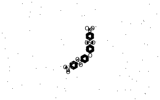 O=[N+]([O-])c1ccc(S(=O)(=O)c2ccc(Oc3ccc(S(=O)(=O)c4ccc([N+](=O)[O-])cc4)cc3)cc2)cc1